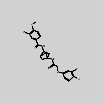 COc1ccc(C(=O)NC2CC3(NC(=O)COc4ccc(Cl)c(F)c4)CC2C3)cc1F